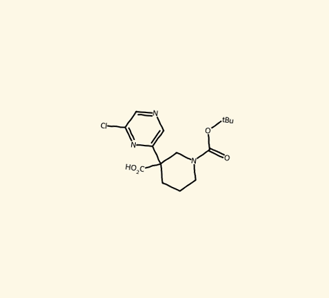 CC(C)(C)OC(=O)N1CCCC(C(=O)O)(c2cncc(Cl)n2)C1